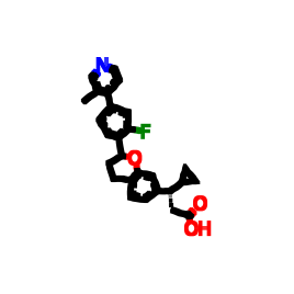 Cc1cnccc1-c1ccc(C2CCc3ccc([C@@H](CC(=O)O)C4CC4)cc3O2)c(F)c1